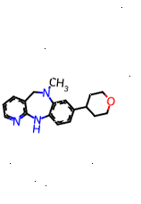 CN1Cc2cccnc2Nc2ccc(C3CCOCC3)cc21